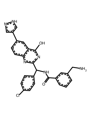 NCc1cccc(C(=O)NC(c2ccc(Cl)cc2)c2nc(O)c3cc(-c4cn[nH]c4)ccc3n2)c1